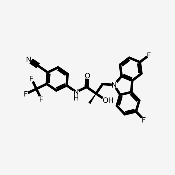 C[C@](O)(Cn1c2ccc(F)cc2c2cc(F)ccc21)C(=O)Nc1ccc(C#N)c(C(F)(F)F)c1